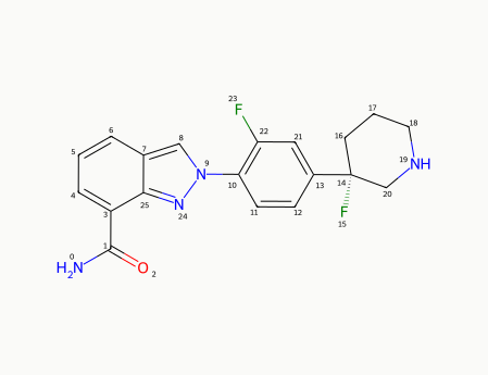 NC(=O)c1cccc2cn(-c3ccc([C@@]4(F)CCCNC4)cc3F)nc12